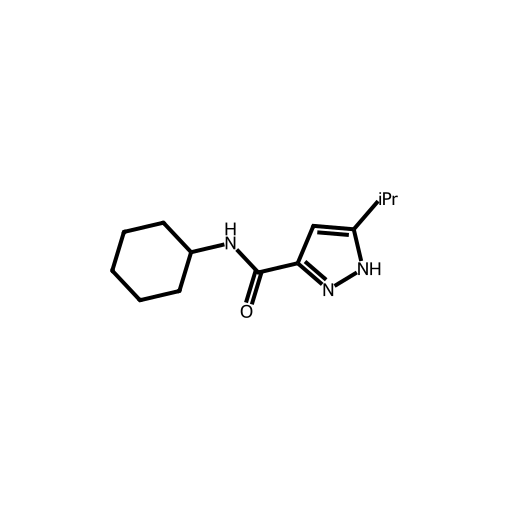 CC(C)c1cc(C(=O)NC2CCCCC2)n[nH]1